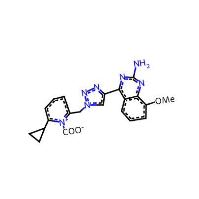 COc1cccc2c(-c3cn(Cc4cccc(C5CC5)[n+]4C(=O)[O-])nn3)nc(N)nc12